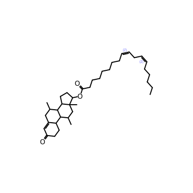 CCCCC/C=C\C/C=C\CCCCCCCC(=O)OC1CCC2C3C(C)CC4=CC(=O)CCC4C3C(C)CC12C